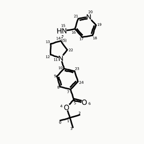 CC(C)(C)OC(=O)c1ccc(N2CC[C@H](Nc3cccnc3)C2)cc1